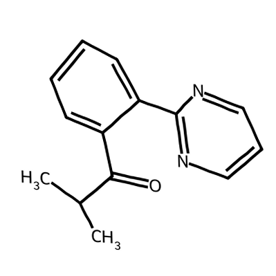 CC(C)C(=O)c1ccccc1-c1ncccn1